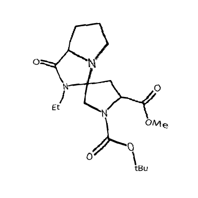 CCN1C(=O)C2CCCN2C12CC(C(=O)OC)N(C(=O)OC(C)(C)C)C2